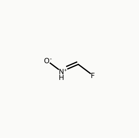 [O-][NH+]=CF